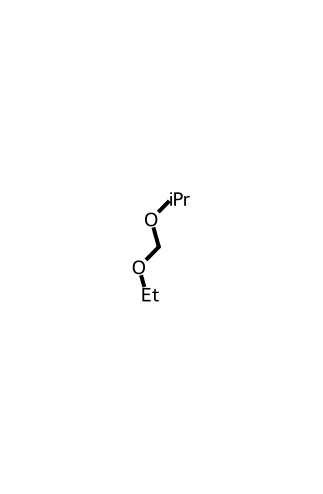 [CH2]COCOC(C)C